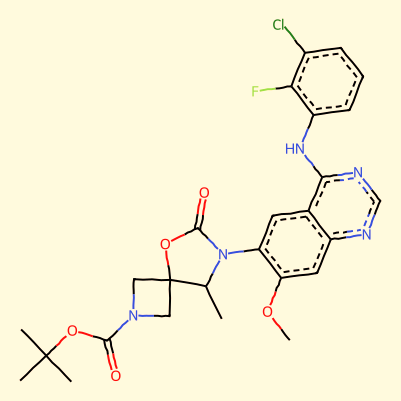 COc1cc2ncnc(Nc3cccc(Cl)c3F)c2cc1N1C(=O)OC2(CN(C(=O)OC(C)(C)C)C2)C1C